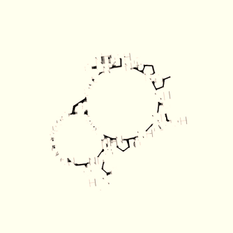 CC[C@H](C)[C@@H]1NC(=O)[C@H](CC(=O)O)NC(=O)[C@H](C)NC(=O)[C@@H]2CCCN2C(=O)[C@@H]2CSCc3cc(cc(c3)OCCCCCCO/N=C/C(=O)N[C@@H](CCC(N)=O)C(=O)N2)CSC[C@@H](C(N)=O)NC(=O)[C@H]([C@@H](C)O)NC(=O)[C@@H]2CCCN2C1=O